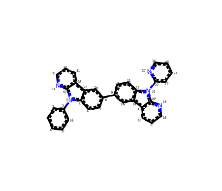 c1ccc(-n2c3ccc(-c4ccc5c(c4)c4cccnc4n5-c4ccccn4)cc3c3cccnc32)cc1